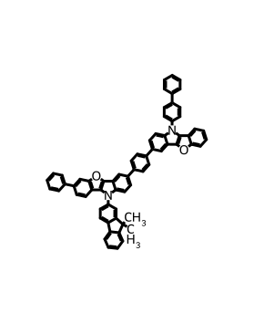 CC1(C)c2ccccc2-c2ccc(-n3c4ccc(-c5ccc(-c6ccc7c(c6)c6oc8ccccc8c6n7-c6ccc(-c7ccccc7)cc6)cc5)cc4c4oc5cc(-c6ccccc6)ccc5c43)cc21